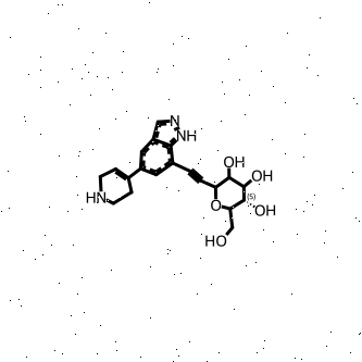 OCC1OC(C#Cc2cc(C3=CCNCC3)cc3cn[nH]c23)C(O)C(O)[C@@H]1O